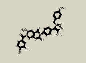 COc1ccc(Cn2nnc(C)c2-c2ccc(-n3c(Cl)nc4c(c3=O)C[C@@H](C)N(C(=O)c3ccc(Br)c(C(F)(F)F)c3)C4)cc2)cc1